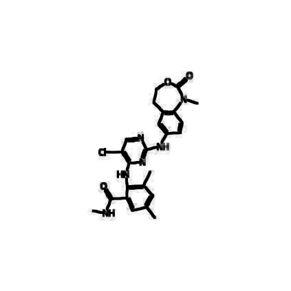 CNC(=O)c1cc(C)cc(C)c1Nc1nc(Nc2ccc3c(c2)CCOC(=O)N3C)ncc1Cl